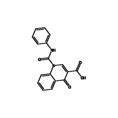 O=C(O)c1cn(C(=O)Nc2ccccc2)c2ccccc2c1=O